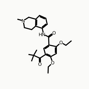 CCOc1cc(OCC)c(C(=O)C(C)(C)C)cc1C(=O)Nc1cccc2c1CCN(C)C2